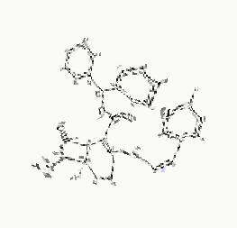 Cc1ccc(/C=C\SC2=C(C(=O)OC(c3ccccc3)c3ccccc3)N3C(=O)C(N)[C@@H]3SC2)cn1